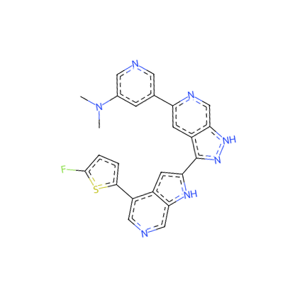 CN(C)c1cncc(-c2cc3c(-c4cc5c(-c6ccc(F)s6)cncc5[nH]4)n[nH]c3cn2)c1